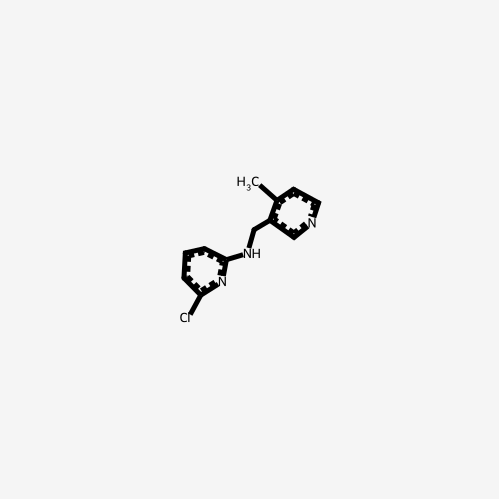 Cc1ccncc1CNc1cccc(Cl)n1